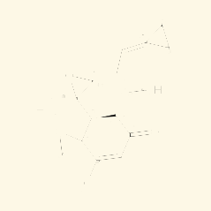 CO[C@@H]1C(=O)C=C(C)[C@]2(CO2)[C@H]1[C@@]1(C)O[C@@H]1CC=C1CC1